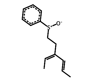 CC=CC(=CC)CC[S+]([O-])c1ccccc1